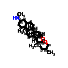 CN[C@H]1CC[C@@]2(C)C(CC[C@H]3[C@@H]4C[C@@H]5O[C@]6(CC[C@@H](C)CO6)[C@@H](C)[C@@H]5[C@@]4(C)CC[C@@H]32)C1